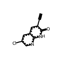 C#Cc1cc2cc(Cl)cnc2[nH]c1=O